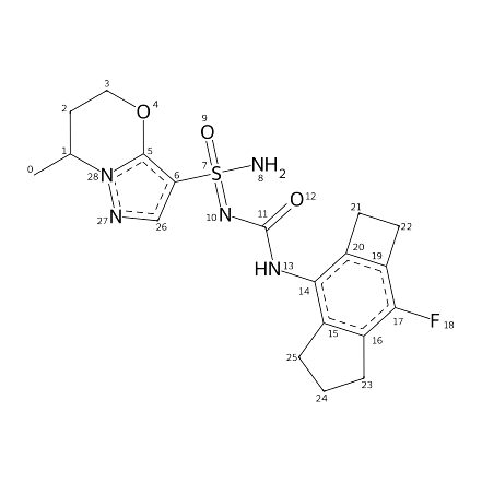 CC1CCOc2c(S(N)(=O)=NC(=O)Nc3c4c(c(F)c5c3CC5)CCC4)cnn21